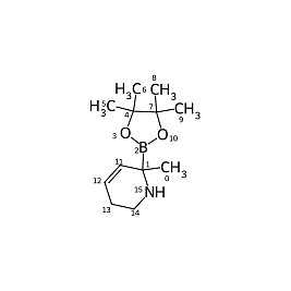 CC1(B2OC(C)(C)C(C)(C)O2)C=CCCN1